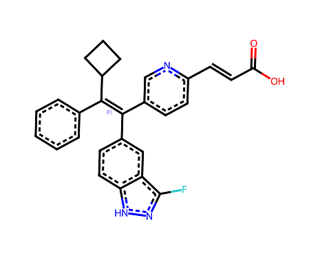 O=C(O)C=Cc1ccc(/C(=C(/c2ccccc2)C2CCC2)c2ccc3[nH]nc(F)c3c2)cn1